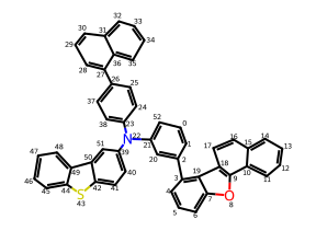 c1cc(-c2cccc3oc4c5ccccc5ccc4c23)cc(N(c2ccc(-c3cccc4ccccc34)cc2)c2ccc3sc4ccccc4c3c2)c1